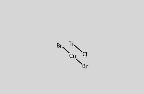 [Br][Cu][Br].[Cl][Ti]